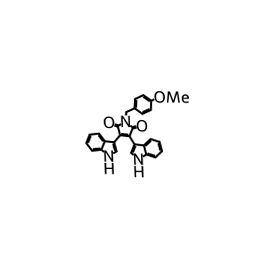 COc1ccc(CN2C(=O)C(c3c[nH]c4ccccc34)=C(c3c[nH]c4ccccc34)C2=O)cc1